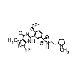 CCCOc1ccc(S(=O)(=O)NCC[C@@H]2CCCN2C)cc1-c1nc(=O)c2c([nH]1)c(CCC)nn2C